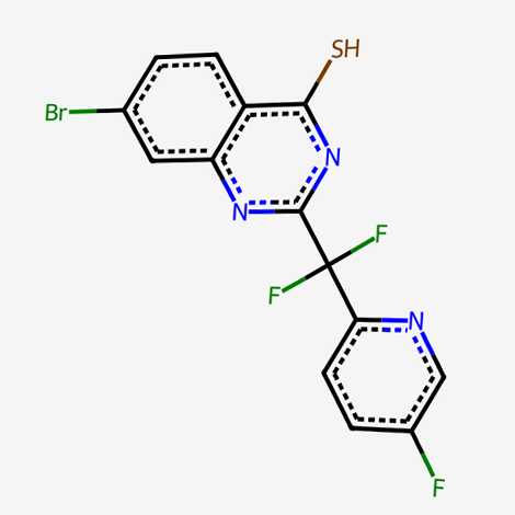 Fc1ccc(C(F)(F)c2nc(S)c3ccc(Br)cc3n2)nc1